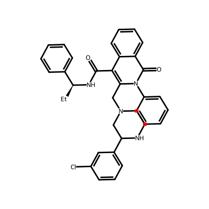 CC[C@H](NC(=O)c1c(CN2CCNC(c3cccc(Cl)c3)C2)n(-c2ccccc2)c(=O)c2ccccc12)c1ccccc1